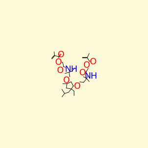 C=C(C)C(=O)OCC(=O)NC(C)(C)CCOC1CC(C)(OCC(C)(CC)NC(=O)COC(=O)C(=C)C)CC1(CC)CC(C)C